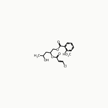 CC(O)CC(COC(=O)c1ccccc1C(=O)O)OC(=O)C=CCl